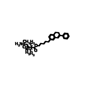 CC(C)(N)CC(N)C(C)(C)C(=O)OCCCCCc1ccc2c(c1)C=C(c1ccccc1)CC2